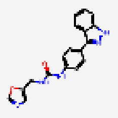 O=C(NCc1cnco1)Nc1ccc(-c2n[nH]c3ccccc23)cc1